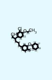 C=CC(CCCc1ccc(F)c(Oc2ccccc2)c1)c1ccc(OCC)c(Cl)c1